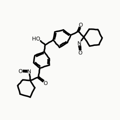 O=NC1(C(=O)c2ccc(C(O)c3ccc(C(=O)C4(N=O)CCCCC4)cc3)cc2)CCCCC1